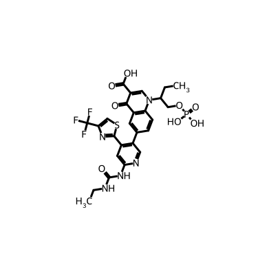 CCNC(=O)Nc1cc(-c2nc(C(F)(F)F)cs2)c(-c2ccc3c(c2)c(=O)c(C(=O)O)cn3C(CC)COP(=O)(O)O)cn1